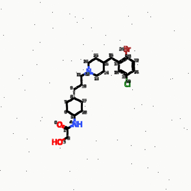 O=C(CO)N[C@H]1CC[C@H](CCCN2CCC(Cc3cc(Cl)ccc3Br)CC2)CC1